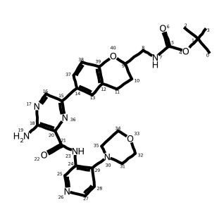 CC(C)(C)OC(=O)NCC1CCc2cc(-c3cnc(N)c(C(=O)Nc4cnccc4N4CCOCC4)n3)ccc2O1